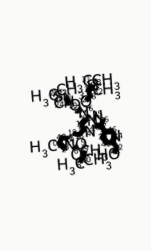 CC1=CN(C(=O)OC(C)(C)C)[C@@H](CCc2cc(N(COCC[Si](C)(C)C)COCC[Si](C)(C)C)n3ncc(-c4ccc(CO)nc4)c3n2)C1